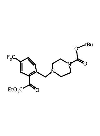 CCOC(=O)C(=O)c1cc(C(F)(F)F)ccc1CN1CCN(C(=O)OC(C)(C)C)CC1